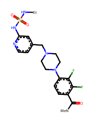 CCNS(=O)(=O)Nc1cc(CN2CCN(c3ccc(C(=O)NC)c(F)c3F)CC2)ccn1